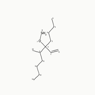 C=CC(CCCC)(O[SiH3])C(C)CCCC